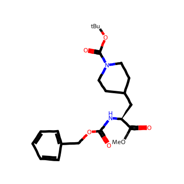 COC(=O)[C@H](CC1CCN(C(=O)OC(C)(C)C)CC1)NC(=O)OCc1ccccc1